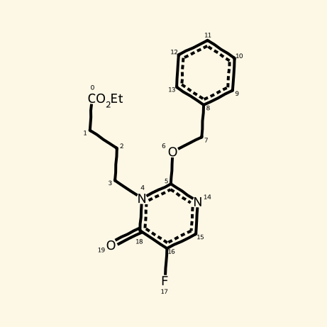 CCOC(=O)CCCn1c(OCc2ccccc2)ncc(F)c1=O